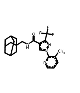 Cc1cccnc1-n1cc(C(=O)NCC23CC4CC(CC(C4)C2)C3)c(C(F)(F)F)n1